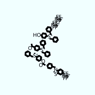 CC(=O)Oc1ccc([S+](C)Cc2ccccc2)cc1.CC(=O)c1ccc([S+](Cc2ccccc2)Cc2ccccc2)cc1.Oc1ccc([S+](Cc2ccccc2)Cc2ccccc2)cc1.[F][Sb-]([F])([F])([F])([F])[F].[F][Sb-]([F])([F])([F])([F])[F].[F][Sb-]([F])([F])([F])([F])[F].c1ccc(CN2CSc3ccccc32)cc1